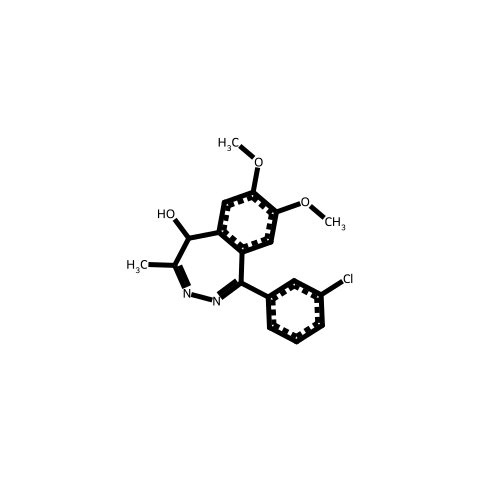 COc1cc2c(cc1OC)C(O)C(C)=NN=C2c1cccc(Cl)c1